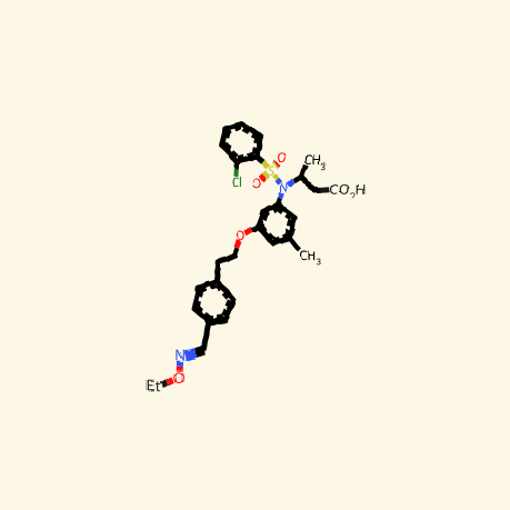 CCON=Cc1ccc(CCOc2cc(C)cc(N(C(C)CC(=O)O)S(=O)(=O)c3ccccc3Cl)c2)cc1